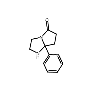 O=C1CCC2(c3ccccc3)NCCN12